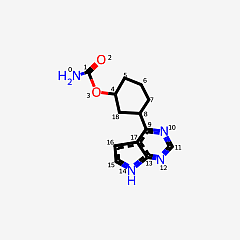 NC(=O)OC1CCCC(c2ncnc3[nH]ccc23)C1